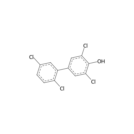 Oc1c(Cl)cc(-c2cc(Cl)ccc2Cl)cc1Cl